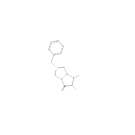 CCCCC1C(=O)C2CN(Cc3ccccc3)CC2C1C